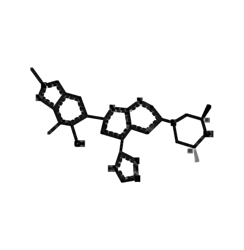 Cc1c(O)c(-c2cc(-c3nnc[nH]3)c3cc(N4C[C@@H](C)N[C@H](C)C4)cnc3n2)cc2cn(C)nc12